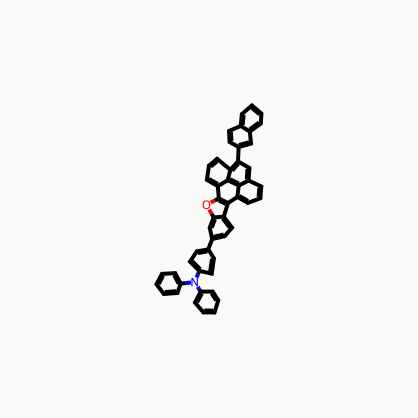 c1ccc(N(c2ccccc2)c2ccc(-c3ccc4c(c3)oc3c5cccc6c(-c7ccc8ccccc8c7)cc7cccc(c43)c7c65)cc2)cc1